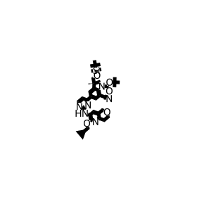 CC(C)(C)OC(=O)N1C[C@](C)(CO[Si](C)(C)C(C)(C)C)c2cc(-c3ccnc(Nc4cc5c(nc4OCC4CC4)CCOC5)n3)cc(C#N)c21